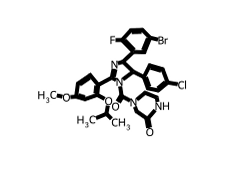 COc1ccc(C2=NC(c3cc(Br)ccc3F)C(c3ccc(Cl)cc3)N2C(=O)N2CCNC(=O)C2)c(OC(C)C)c1